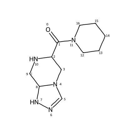 O=C(C1CN2C=NNC2[C]N1)N1CCCCC1